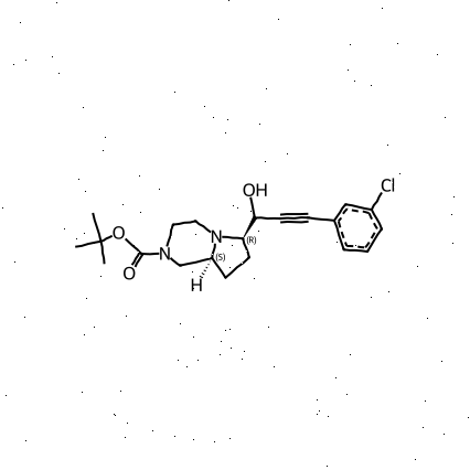 CC(C)(C)OC(=O)N1CCN2[C@@H](CC[C@@H]2C(O)C#Cc2cccc(Cl)c2)C1